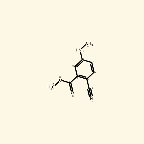 CNc1ccc(C#N)c(C(=O)OC)c1